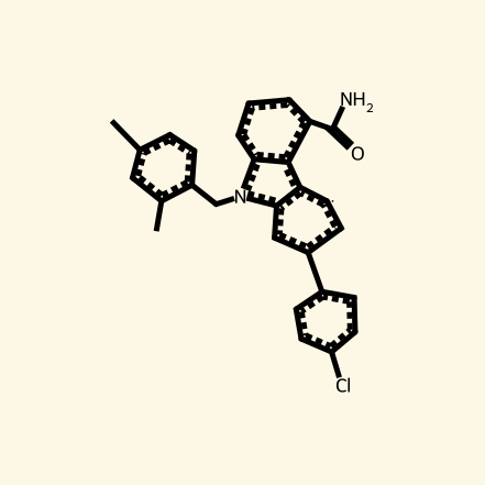 Cc1ccc(Cn2c3cc(-c4ccc(Cl)cc4)c[c]c3c3c(C(N)=O)cccc32)c(C)c1